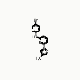 Cc1cnn(-c2cccc(Nc3ccc(Br)cn3)n2)c1